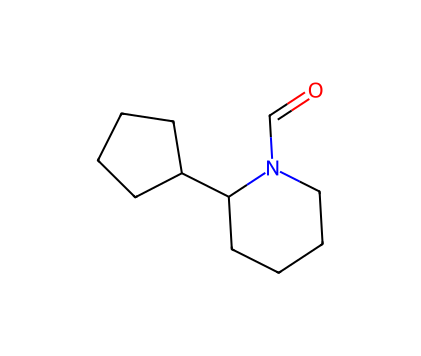 O=CN1CCCCC1C1CCCC1